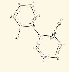 Cc1ccccc1-c1cccc[n+]1[O-]